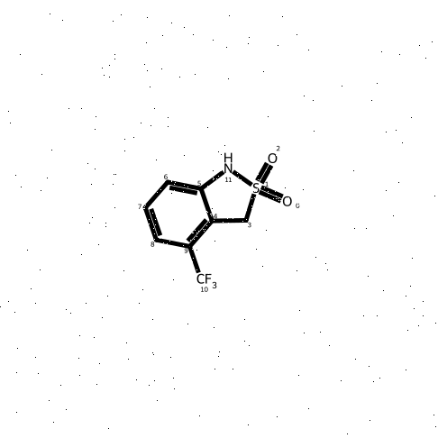 O=S1(=O)Cc2c(cccc2C(F)(F)F)N1